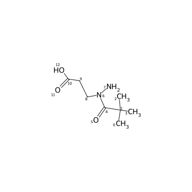 CC(C)(C)C(=O)N(N)CCC(=O)O